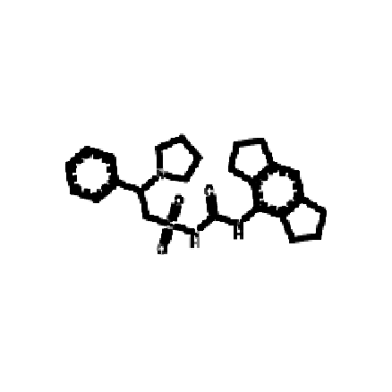 O=C(Nc1c2c(cc3c1CCC3)CCC2)NS(=O)(=O)CC(c1ccccc1)N1CCCC1